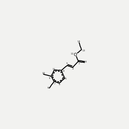 C=C(/C=C/c1ccc(C)c(C)c1)OCC